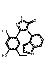 CCc1cc(-c2n[nH]c(=O)n2-c2cccc3[nH]ccc23)c(O)cc1O